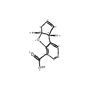 COC(=O)c1cccc2c1O[C@@H]1CC=C[C@H]21